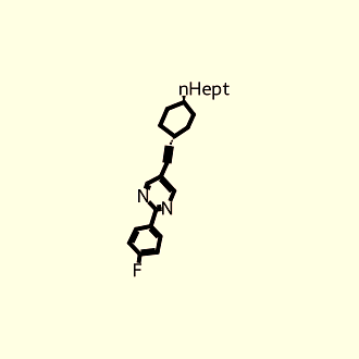 CCCCCCC[C@H]1CC[C@H](C#Cc2cnc(-c3ccc(F)cc3)nc2)CC1